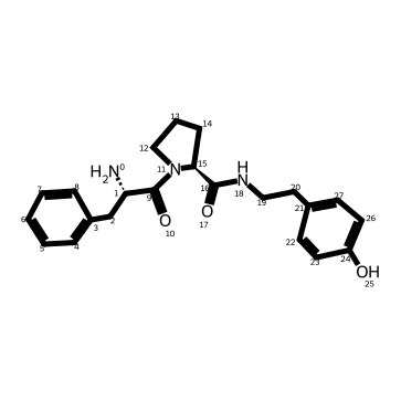 N[C@@H](Cc1ccccc1)C(=O)N1CCC[C@H]1C(=O)NCCc1ccc(O)cc1